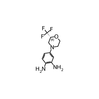 Nc1ccc(N2CCO[C@@H](C(F)(F)F)C2)cc1N